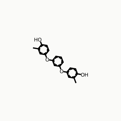 Cc1cc(Oc2cccc(Oc3ccc(O)c(C)c3)c2)ccc1O